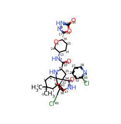 CC1(C)CCC2(CC1)N[C@@H](C(=O)N[C@@H]1CC[C@@H](c3n[nH]c(=O)o3)OC1)[C@H](c1ccnc(Cl)c1)[C@]21C(=O)Nc2cc(Cl)ccc21